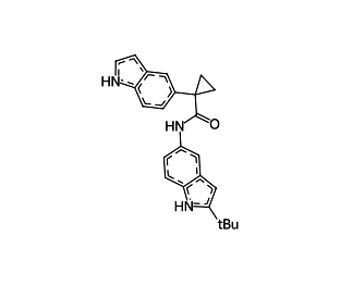 CC(C)(C)c1cc2cc(NC(=O)C3(c4ccc5[nH]ccc5c4)CC3)ccc2[nH]1